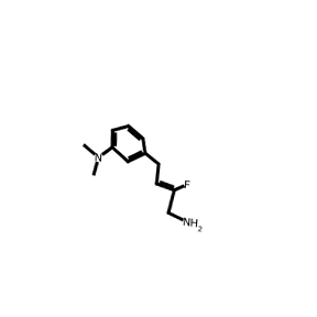 CN(C)c1cccc(CC=C(F)CN)c1